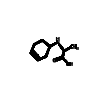 CC(NC1CC#CCC1)C(=O)O